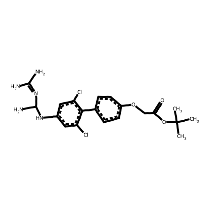 CC(C)(C)OC(=O)COc1ccc(-c2c(Cl)cc(NC(N)N=C(N)N)cc2Cl)cc1